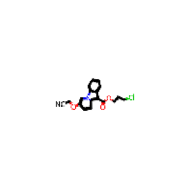 N#CCOc1ccc2c(C(=O)OCCCCl)c3ccccc3n2c1